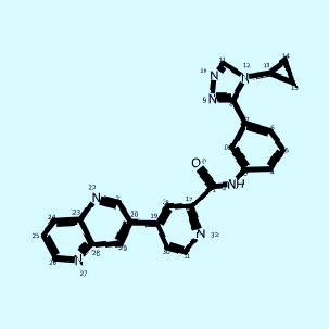 O=C(Nc1cccc(-c2nncn2C2CC2)c1)c1cc(-c2cnc3cccnc3c2)ccn1